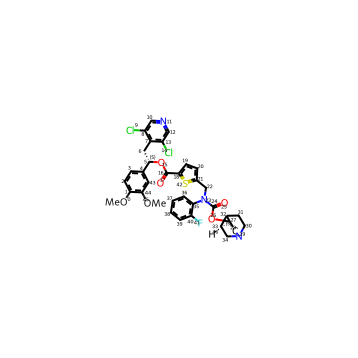 COc1ccc([C@H](Cc2c(Cl)cncc2Cl)OC(=O)c2ccc(CN(C(=O)O[C@@H]3CN4CCC3CC4)c3ccccc3F)s2)cc1OC